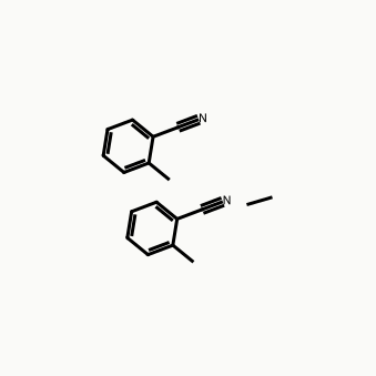 CC.Cc1ccccc1C#N.Cc1ccccc1C#N